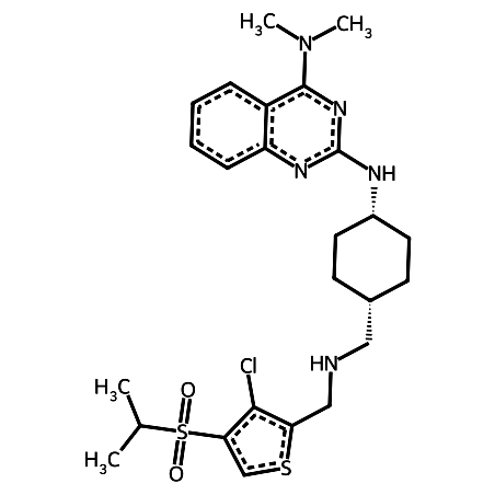 CC(C)S(=O)(=O)c1csc(CNC[C@H]2CC[C@@H](Nc3nc(N(C)C)c4ccccc4n3)CC2)c1Cl